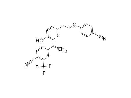 C=C(c1ccc(C#N)c(C(F)(F)F)c1)c1cc(CCOc2ccc(C#N)cc2)ccc1O